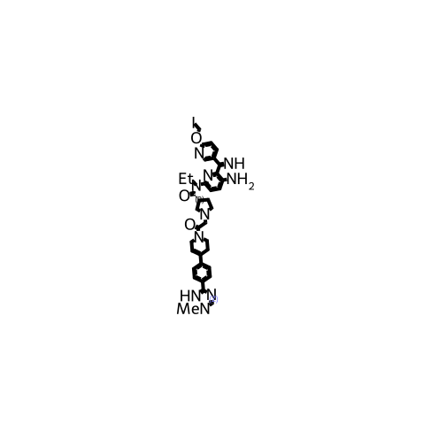 CCN(C(=O)[C@@H]1CCN(CC(=O)N2CC=C(c3ccc(C(=N)/N=C\NC)cc3)CC2)C1)c1ccc(N)c(C(=N)c2ccc(OCI)nc2)n1